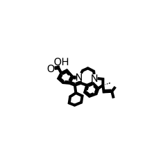 CC(C)=C[C@]1(C)CN2CCCn3c(c(C4CCCCC4)c4ccc(C(=O)O)cc43)-c3cccc1c32